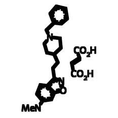 CNc1ccc2c(CCC3CCN(Cc4ccccc4)CC3)noc2c1.O=C(O)C=CC(=O)O